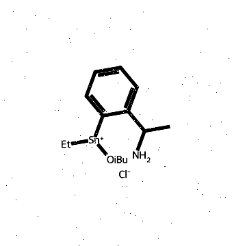 C[CH2][Sn+]([O]CC(C)C)[c]1ccccc1C(C)N.[Cl-]